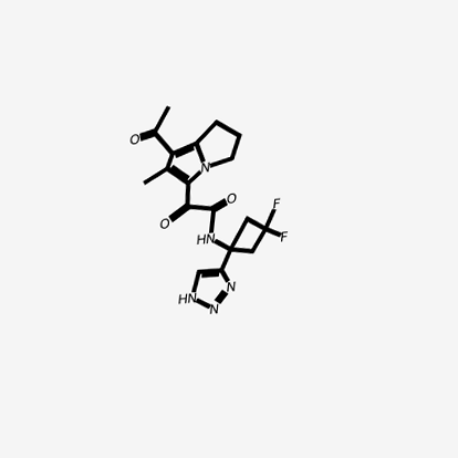 CC(=O)c1c(C)c(C(=O)C(=O)NC2(c3c[nH]nn3)CC(F)(F)C2)n2c1CCC2